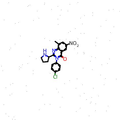 Cc1cc([N+](=O)[O-])cc2c(=O)n(-c3ccc(Cl)cc3)c(C3CCCN3)nc12